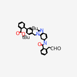 CCCCc1nc2c(n1Cc1ccc(-c3ccccc3C(=O)OC(C)(C)C)cc1)CC(=NC(=O)c1ccccc1CC=O)C=C2